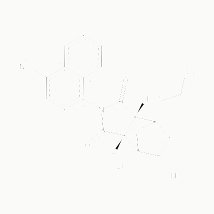 CC[C@]12O[C@](CCO)(C[C@@H]1O)[C@H]1C(=O)N(c3ccc(C#N)c4ccccc34)C(=O)[C@H]12